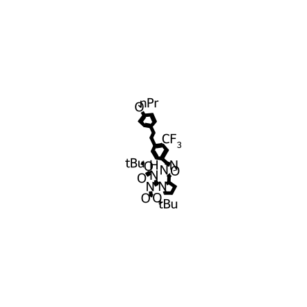 CCCOc1ccc(CCc2ccc(-c3noc(C4CCCN4C(=NC(=O)OC(C)(C)C)NC(=O)OC(C)(C)C)n3)cc2C(F)(F)F)cc1